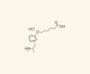 CNC(C)Cc1cccc(OCCCCCC(=O)O)c1.Cl